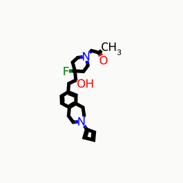 CC(=O)CN1CCC(F)(C(O)Cc2ccc3c(c2)CCN(C2=CC=C2)CC3)CC1